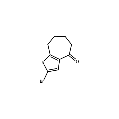 O=C1CCCCc2sc(Br)cc21